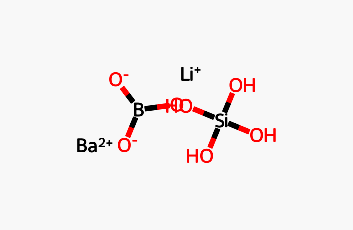 O[Si](O)(O)O.[Ba+2].[Li+].[O-]B([O-])[O-]